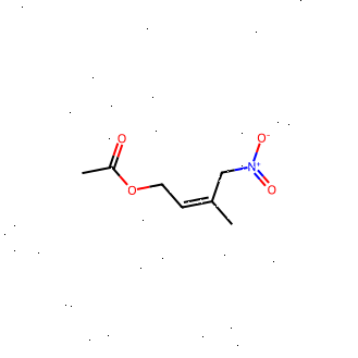 CC(=O)OCC=C(C)C[N+](=O)[O-]